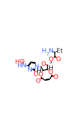 CC[C@H](N)C(=O)OC[C@H]1O[C@@H](n2ccc(NO)nc2=O)[C@@H]2OC(=O)/C=C\C(=O)O[C@@H]21